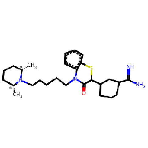 C[C@@H]1CCC[C@H](C)N1CCCCCN1C(=O)C(C2CCCC(C(=N)N)C2)Sc2ccccc21